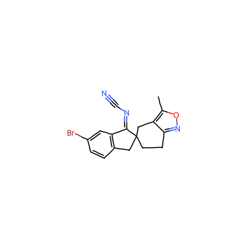 Cc1onc2c1CC1(CC2)Cc2ccc(Br)cc2/C1=N\C#N